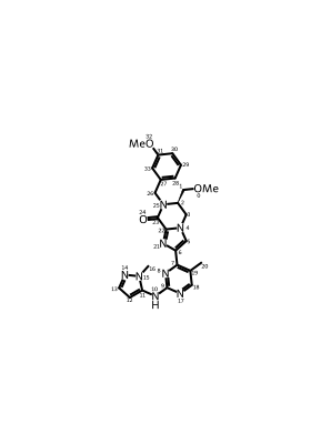 COC[C@H]1Cn2cc(-c3nc(Nc4ccnn4C)ncc3C)nc2C(=O)N1Cc1cccc(OC)c1